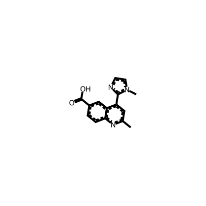 Cc1cc(-c2nccn2C)c2cc(C(=O)O)ccc2n1